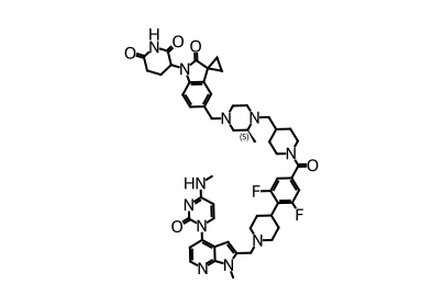 CNc1ccn(-c2ccnc3c2cc(CN2CCC(c4c(F)cc(C(=O)N5CCC(CN6CCN(Cc7ccc8c(c7)C7(CC7)C(=O)N8C7CCC(=O)NC7=O)C[C@@H]6C)CC5)cc4F)CC2)n3C)c(=O)n1